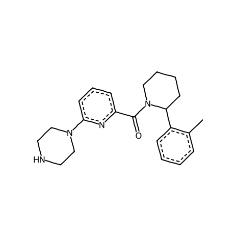 Cc1ccccc1C1CCCCN1C(=O)c1cccc(N2CCNCC2)n1